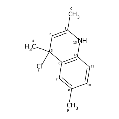 CC1=CC(C)(Cl)c2cc(C)ccc2N1